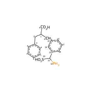 CC(Cc1ccccc1)C(=O)O.O=S(=O)(O)C(P)c1ccccc1